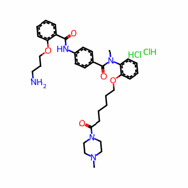 CN1CCN(C(=O)CCCCCOc2ccccc2N(C)C(=O)c2ccc(NC(=O)c3ccccc3OCCCN)cc2)CC1.Cl.Cl